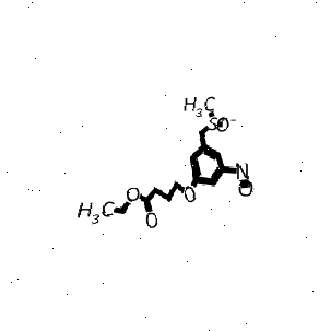 CCOC(=O)CCCOc1cc(C[S+](C)[O-])cc(N=O)c1